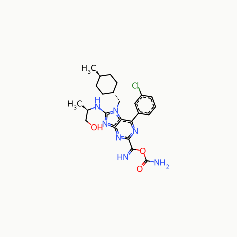 C[C@H](CO)Nc1nc2nc(C(=N)OC(N)=O)nc(-c3cccc(Cl)c3)c2n1C[C@H]1CC[C@H](C)CC1